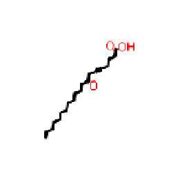 CCCCCCCCCCCCC(=O)CC#CCCCC(=O)O